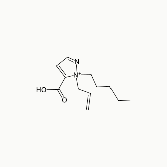 C=CC[N+]1(CCCCC)N=CC=C1C(=O)O